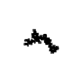 CCN(CC)CCCn1c(C)c(/C=C/C(=O)N2CCN(CCc3cccc(F)c3)CC2)c2cc(C)ccc21